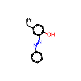 CC(C)Cc1ccc(O)c(/N=N/c2ccccc2)c1